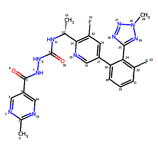 Cc1ncc(C(=O)NNC(=O)N[C@H](C)c2ncc(-c3cccc(F)c3-c3nnn(C)n3)cc2F)cn1